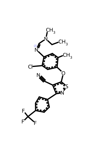 CCN(C)/C=N\c1cc(C)c(Oc2snc(-c3ccc(C(F)(F)F)cc3)c2C#N)cc1Cl